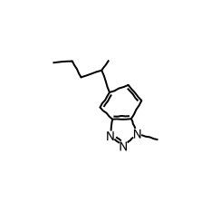 CCCC(C)c1ccc2c(c1)nnn2C